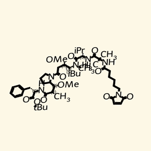 CC[C@H](C)[C@@H]([C@@H](CC(=O)N1CCCC1[C@H](OC)[C@@H](C)C(=O)N[C@@H](Cc1ccccc1)C(=O)OC(C)(C)C)OC)N(C)C(=O)[C@@H](NC(=O)C(C)(C)NC(=O)CCCCCN1C(=O)C=CC1=O)C(C)C